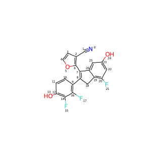 N#Cc1ccoc1C1=C(c2ccc(O)c(F)c2F)Cc2c(F)cc(O)cc21